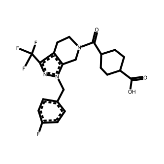 O=C(O)C1CCC(C(=O)N2CCc3c(C(F)(F)F)nn(Cc4ccc(F)cc4)c3C2)CC1